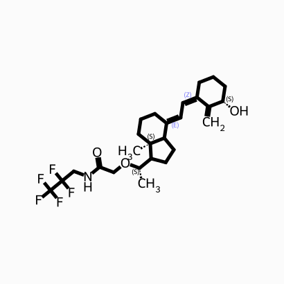 C=C1/C(=C\C=C2/CCC[C@@]3(C)C2CCC3[C@H](C)OCC(=O)NCC(F)(F)C(F)(F)F)CCC[C@@H]1O